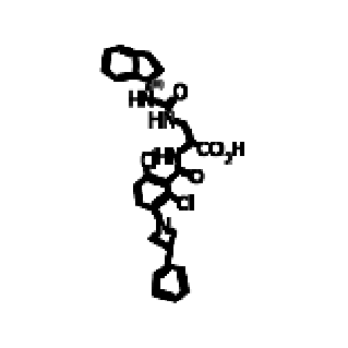 O=C(NCC(NC(=O)c1c(Cl)ccc(N2CC(c3ccccc3)C2)c1Cl)C(=O)O)N[C@@H]1CCc2ccccc21